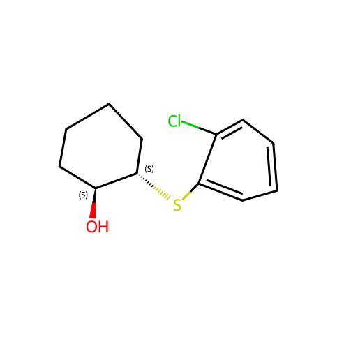 O[C@H]1CCCC[C@@H]1Sc1ccccc1Cl